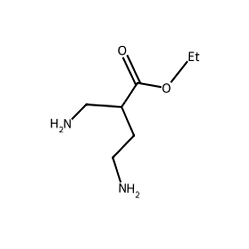 CCOC(=O)C(CN)CCN